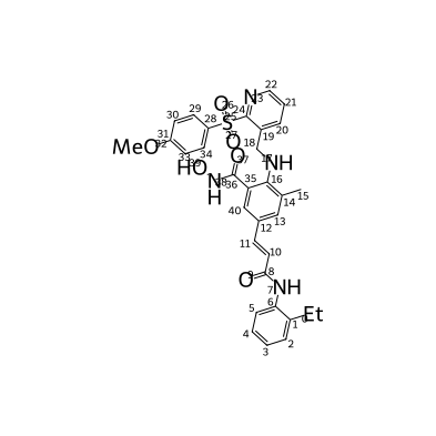 CCc1ccccc1NC(=O)C=Cc1cc(C)c(NCc2cccnc2S(=O)(=O)c2ccc(OC)cc2)c(C(=O)NO)c1